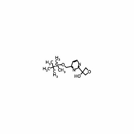 CC(C)(C)[Si](C)(C)OCc1ccnc(C2(O)COC2)n1